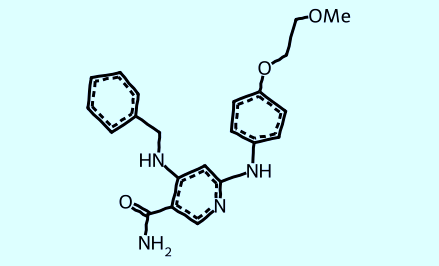 COCCOc1ccc(Nc2cc(NCc3ccccc3)c(C(N)=O)cn2)cc1